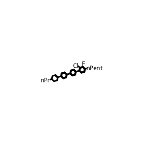 CCCCCc1ccc(-c2ccc(-c3ccc(C4=CCC(CCC)CC4)cc3)cc2)c(Cl)c1F